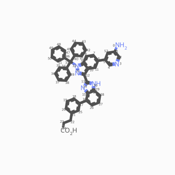 Nc1cncc(-c2ccc3c(c2)c(-c2nc4c(-c5cccc(CCC(=O)O)c5)cccc4[nH]2)nn3C(c2ccccc2)(c2ccccc2)c2ccccc2)c1